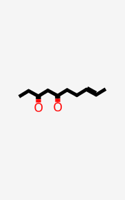 C/C=C/CCC(=O)CC(=O)CC